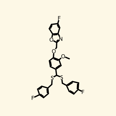 COc1cc(C(SCc2ccc(F)cc2)SCc2ccc(F)cc2)ccc1OCc1nc2cc(F)ccc2o1